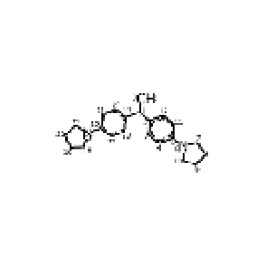 [CH][C](c1ccc(N2CCCC2)cc1)c1ccc(N2CCCC2)cc1